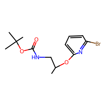 CC(CNC(=O)OC(C)(C)C)Oc1cccc(Br)n1